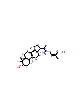 C/C(=C/CCC(C)[C@@H]1CC[C@]2(C)C3=C(CC[C@@]12N)[C@@]1(C)CCC(O)C(C)(C)C1CC3)CO